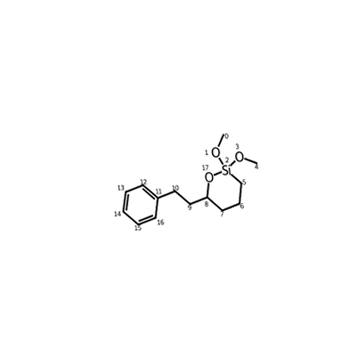 CO[Si]1(OC)CCCC(CCc2ccccc2)O1